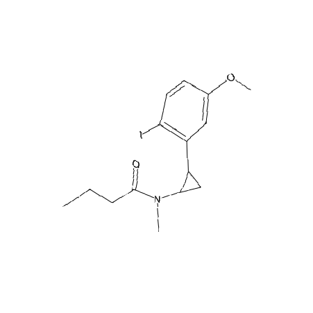 CCCC(=O)N(C)C1CC1c1cc(OC)ccc1I